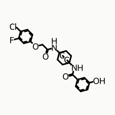 O=C(COc1ccc(Cl)c(F)c1)NC12CCC(NC(=O)c3cccc(O)c3)(CC1)CC2